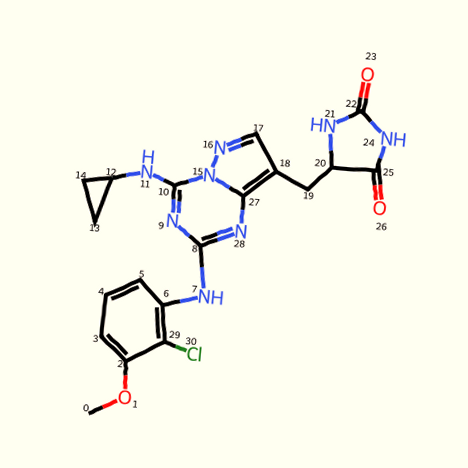 COc1cccc(Nc2nc(NC3CC3)n3ncc(CC4NC(=O)NC4=O)c3n2)c1Cl